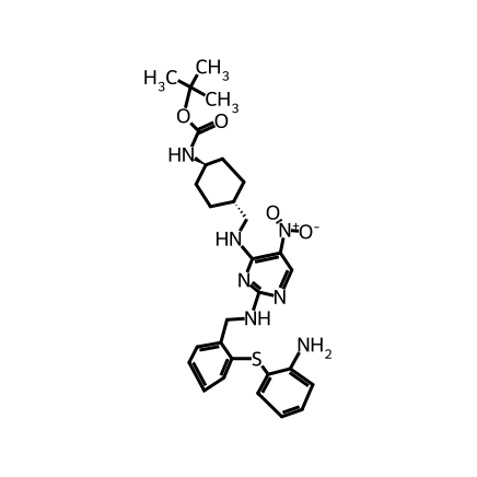 CC(C)(C)OC(=O)N[C@H]1CC[C@H](CNc2nc(NCc3ccccc3Sc3ccccc3N)ncc2[N+](=O)[O-])CC1